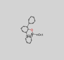 CCCCCCC[CH2][Al]([CH2]CCCCCCC)[O]c1c(-c2ccccc2)cccc1-c1ccccc1